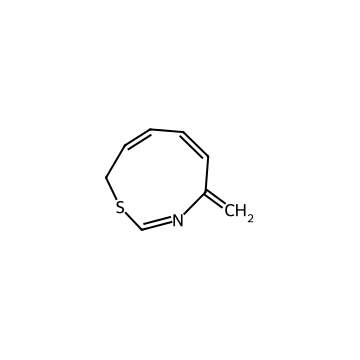 C=C1/C=C\C=C/CS/C=N\1